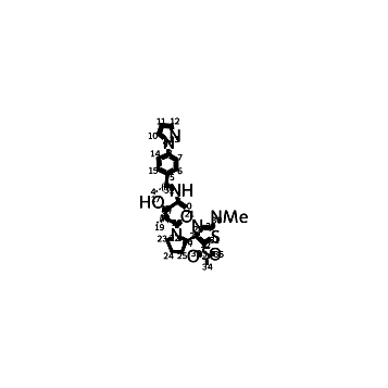 C=C(N[C@H](C)c1ccc(-n2cccn2)cc1)[C@H](O)[C@@H](C)C(=O)N1CCC[C@@H]1c1nc(NC)sc1S(C)(=O)=O